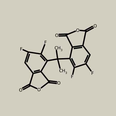 CC(C)(c1c(F)c(F)cc2c1C(=O)OC2=O)c1c(F)c(F)cc2c1C(=O)OC2=O